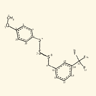 COc1ccc(SSSCc2cccc(C(F)(F)F)c2)cc1